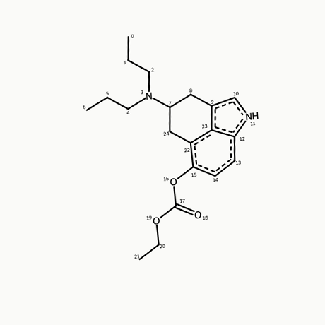 CCCN(CCC)C1Cc2c[nH]c3ccc(OC(=O)OCC)c(c23)C1